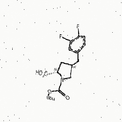 CC(C)(C)OC(=O)N1C[C@H](Cc2ccc(F)c(F)c2)C[C@H]1C(=O)O